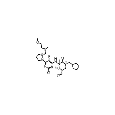 COCCN(C)C[C@@H]1CCCN1c1nc(Cl)nc(NNC(=O)[C@@H](CC2CCCC2)CN(O)C=O)c1F